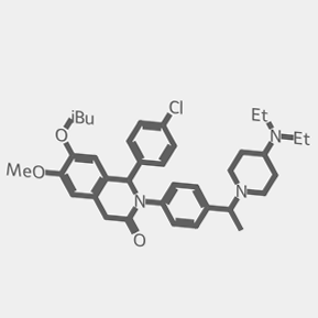 CCC(C)Oc1cc2c(cc1OC)CC(=O)N(c1ccc(C(C)N3CCC(N(CC)CC)CC3)cc1)C2c1ccc(Cl)cc1